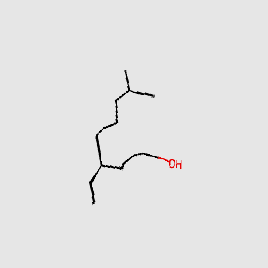 CC[C@H](CCO)CCCC(C)C